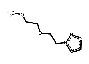 COCCOCCn1ccnn1